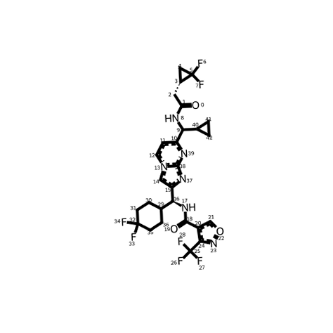 O=C(C[C@@H]1CC1(F)F)NC(c1ccn2cc([C@@H](NC(=O)c3conc3C(F)(F)F)C3CCC(F)(F)CC3)nc2n1)C1CC1